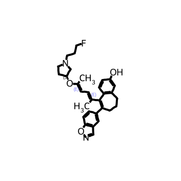 C/C(=C\C=C(/C)C1=C(c2ccc3oncc3c2)CCCc2cc(O)ccc21)O[C@H]1CCN(CCCF)C1